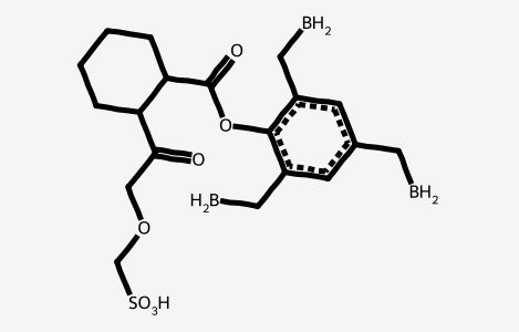 BCc1cc(CB)c(OC(=O)C2CCCCC2C(=O)COCS(=O)(=O)O)c(CB)c1